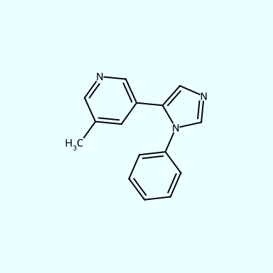 Cc1cncc(-c2cncn2-c2ccccc2)c1